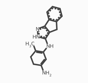 CC1=C(Nc2[nH]nc3c2Cc2ccccc2-3)C=C(N)CC1